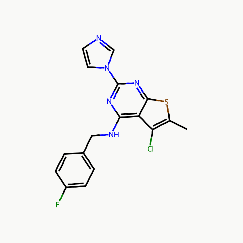 Cc1sc2nc(-n3ccnc3)nc(NCc3ccc(F)cc3)c2c1Cl